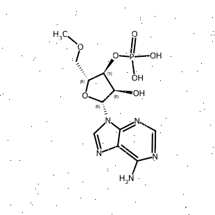 COC[C@H]1O[C@@H](n2cnc3c(N)ncnc32)[C@H](O)[C@@H]1OP(=O)(O)O